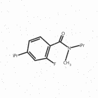 CC(C)c1ccc(C(=O)N(C)C(C)C)c(F)c1